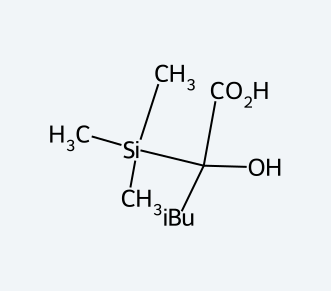 CCC(C)C(O)(C(=O)O)[Si](C)(C)C